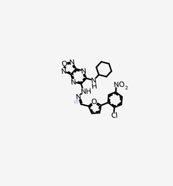 O=[N+]([O-])c1ccc(Cl)c(-c2ccc(/C=N\Nc3nc4nonc4nc3NC3CCCCC3)o2)c1